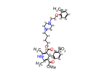 COC(=O)C1=C(C)NC(C)=C(C(=O)OCCCCN2CCN(CCOc3ccccc3C)CC2)C1c1cccc([N+](=O)[O-])c1